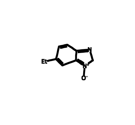 CCc1ccc2c(c1)=[N+]([O-])CN=2